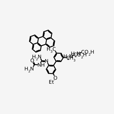 CCOc1ccc(N=C(N)NC(N)=O)c(-c2cc(C)cc(C)c2)c1.NC(=O)O.NC(=O)O.c1cc2cccc3c4cccc5cccc(c(c1)c23)c54